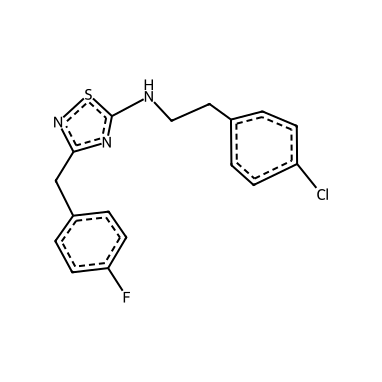 Fc1ccc(Cc2nsc(NCCc3ccc(Cl)cc3)n2)cc1